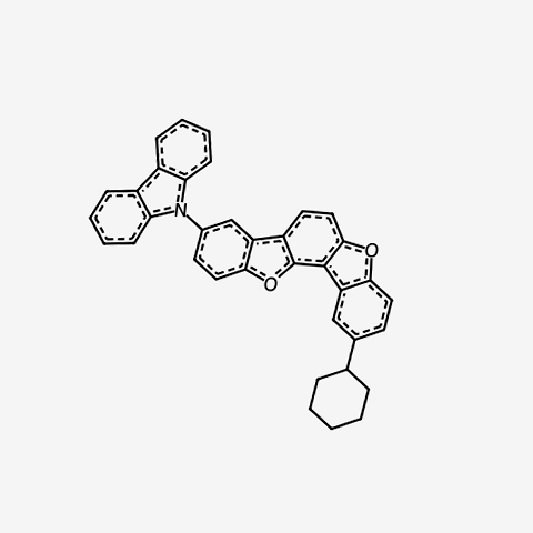 c1ccc2c(c1)c1ccccc1n2-c1ccc2oc3c(ccc4oc5ccc(C6CCCCC6)cc5c43)c2c1